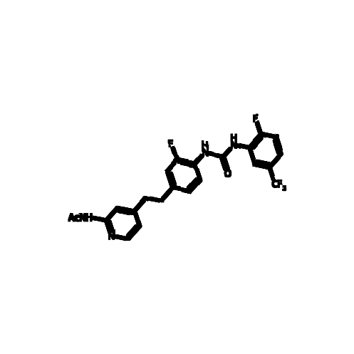 CC(=O)Nc1cc(CCc2ccc(NC(=O)Nc3cc(C(F)(F)F)ccc3F)c(F)c2)ccn1